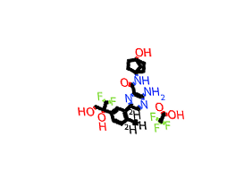 O=C(O)C(F)(F)F.[2H]C([2H])([2H])c1ccc(C(O)(CO)C(F)F)cc1-c1cnc(N)c(C(=O)NC23CCC(O)(CC2)C3)n1